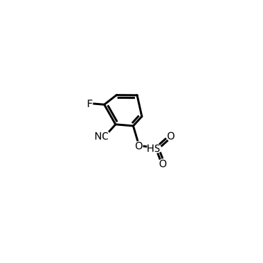 N#Cc1c(F)cccc1O[SH](=O)=O